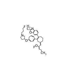 CC/C=C(\C=C1\CCCC(c2ccc3nc(C)oc3c2)=C(C2=CC=C(O[C@H]3CCN(CCCF)C3)CC=C2)C1)OF